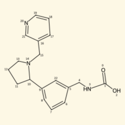 O=C(O)NCc1cccc(C2CCCN2Cc2cccnc2)c1